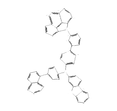 c1cc(-c2ccc(N(c3ccc(-c4cccc5ccccc45)cc3)c3ccc4c(c3)oc3ccccc34)cc2)cc(-n2c3cccc4ccc5cccc2c5c43)c1